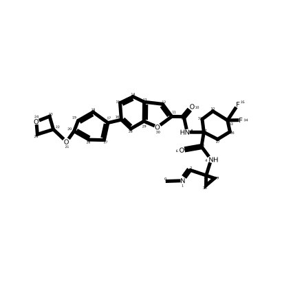 C/N=C/C1(NC(=O)C2(NC(=O)c3cc4ccc(-c5ccc(OC6COC6)cc5)cc4o3)CCC(F)(F)CC2)CC1